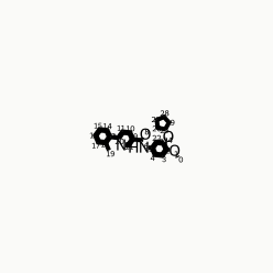 COc1ccc(NC(=O)c2ccc(-c3ccccc3C)nc2)cc1OC1CCCC1